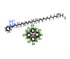 CCCCCCCCCCCCCCCCCCCCCCCCCC[NH2+]c1ccccc1.Fc1c(F)c(F)c([B-](c2c(F)c(F)c(F)c(F)c2F)(c2c(F)c(F)c(F)c(F)c2F)c2c(F)c(F)c(F)c(F)c2F)c(F)c1F